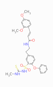 CNC(=S)NS(=O)(=O)c1cc(CCNC(=O)C=Cc2ccc(OC)cc2OC)ccc1Oc1ccccc1